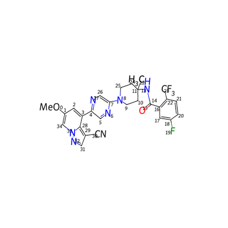 COc1cc(-c2cnc(N3CCC(C)(NC(=O)c4cc(F)ccc4C(F)(F)F)CC3)cn2)c2c(C#N)cnn2c1